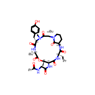 CC[C@H](C)C1C(=O)N(C)[C@@H](Cc2ccc(O)cc2)C(=O)N[C@@H]([C@@H](C)CC)C(=O)O[C@H](C)[C@H](NC(=O)CNC(=O)C(C)C)C(=O)N[C@@H](CC(C)C)C(=O)N[C@H]2CCCN1C2=O